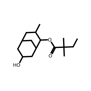 CCC(C)(C)C(=O)OC1C(C)CC2CC(O)CC1C2